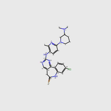 Cc1nc(N2CCCC(N(C)C)C2)ccc1Nc1ncc2c(n1)-c1ccc(Cl)cc1NC(=S)C2